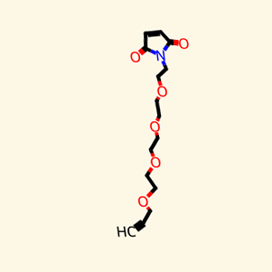 C#CCOCCOCCOCCOCCN1C(=O)C=CC1=O